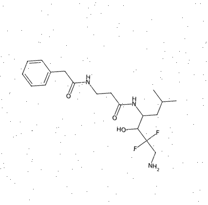 CC(C)CC(NC(=O)CCNC(=O)Cc1ccccc1)C(O)C(F)(F)CN